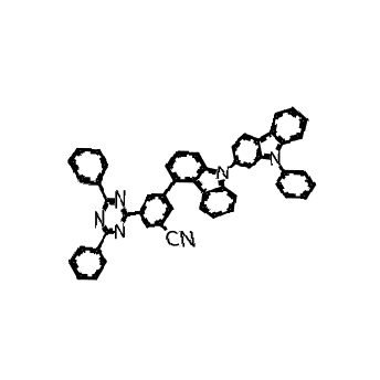 N#Cc1cc(-c2nc(-c3ccccc3)nc(-c3ccccc3)n2)cc(-c2cccc3c2c2ccccc2n3-c2ccc3c4ccccc4n(-c4ccccc4)c3c2)c1